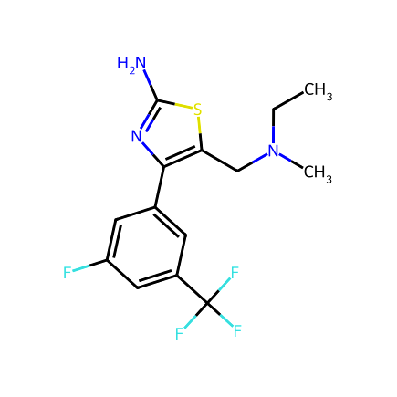 CCN(C)Cc1sc(N)nc1-c1cc(F)cc(C(F)(F)F)c1